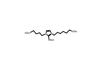 CCCCCCCCCCCCCCCC[n+]1ccn(CCCCCCCCCCCCCC)c1CCCCCCCCC